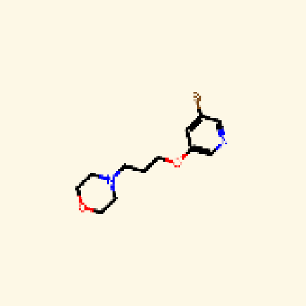 Brc1cncc(OCCCN2CCOCC2)c1